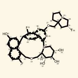 Oc1cc2c3c(c(F)ccc3c1)COC[C@@H]1[C@@H](O)[C@H](O)[C@@H](O)CN1c1nc(OCC34CCCN3C[C@H](F)C4)nc3c(F)c-2ncc13